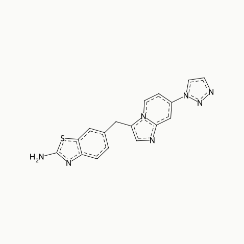 Nc1nc2ccc(Cc3cnc4cc(-n5ccnn5)ccn34)cc2s1